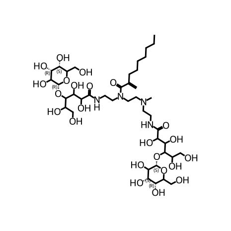 C=C(CCCCCCC)C(=O)N(CCNC(=O)C(O)C(O)C(O[C@H]1OC(CO)[C@@H](O)[C@@H](O)C1O)C(O)CO)CCN(C)CCNC(=O)C(O)C(O)C(O[C@@H]1OC(CO)[C@H](O)[C@H](O)C1O)C(O)CO